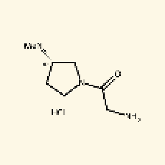 CN[C@H]1CCN(C(=O)CN)C1.Cl